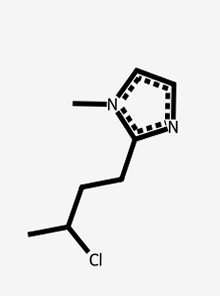 CC(Cl)CCc1nccn1C